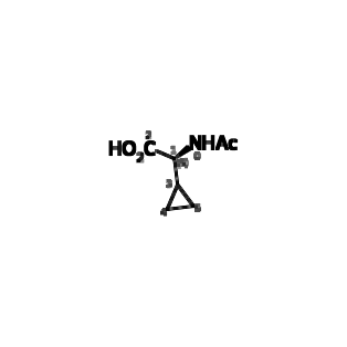 CC(=O)N[C@H](C(=O)O)C1CC1